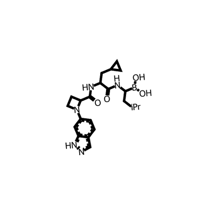 CC(C)CC(NC(=O)C(CC1CC1)NC(=O)C1CCN1c1ccc2cn[nH]c2c1)B(O)O